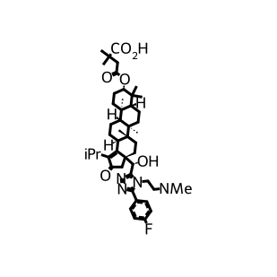 CNCCn1c(-c2ccc(F)cc2)nnc1[C@@H](O)[C@@]12CC[C@]3(C)[C@H](CC[C@@H]4[C@@]5(C)CC[C@H](OC(=O)CC(C)(C)C(=O)O)C(C)(C)[C@@H]5CC[C@]43C)C1=C(C(C)C)C(=O)C2